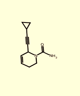 NC(=O)N1CCC=CC1C#CC1CC1